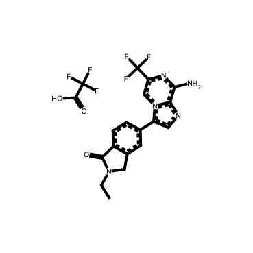 CCN1Cc2cc(-c3cnc4c(N)nc(C(F)(F)F)cn34)ccc2C1=O.O=C(O)C(F)(F)F